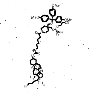 COc1ccc(C(OCC2(COP(OCCC#N)N(C(C)C)C(C)C)CCN(C(=O)CCCCCNC(=O)OC3CC[C@@]4(C)C(=CC[C@H]5[C@@H]6CC[C@H]([C@H](C)CCCC(C)C)[C@@]6(C)CC[C@@H]54)C3)CC2)(c2ccc(OC)cc2)c2ccc(OC)cc2)cc1